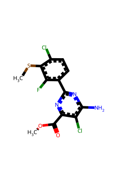 COC(=O)c1nc(-c2ccc(Cl)c(SC)c2F)nc(N)c1Cl